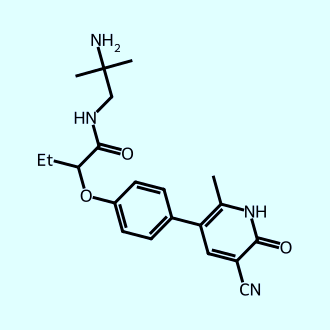 CCC(Oc1ccc(-c2cc(C#N)c(=O)[nH]c2C)cc1)C(=O)NCC(C)(C)N